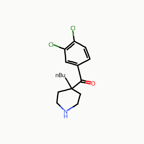 CCCCC1(C(=O)c2ccc(Cl)c(Cl)c2)CCNCC1